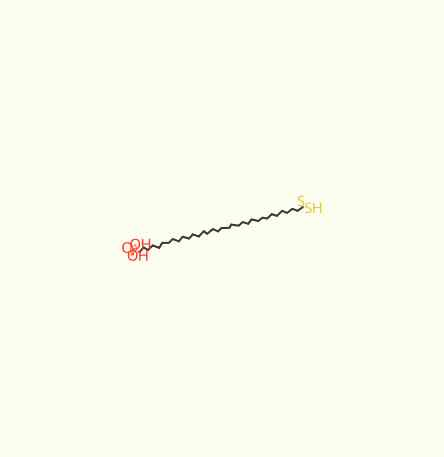 O=P(O)(O)CCCCCCCCCCCCCCCCCCCCCCCCCCCCCCCCCC(=S)S